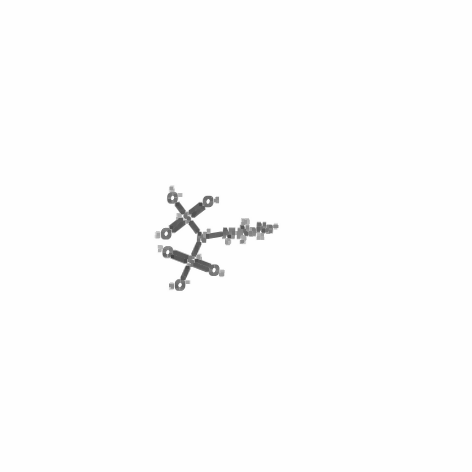 NN(S(=O)(=O)[O-])S(=O)(=O)[O-].[Na+].[Na+]